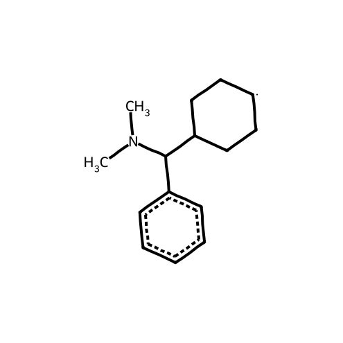 CN(C)C(c1ccccc1)C1CC[CH]CC1